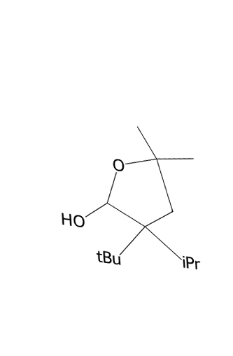 CC(C)C1(C(C)(C)C)CC(C)(C)OC1O